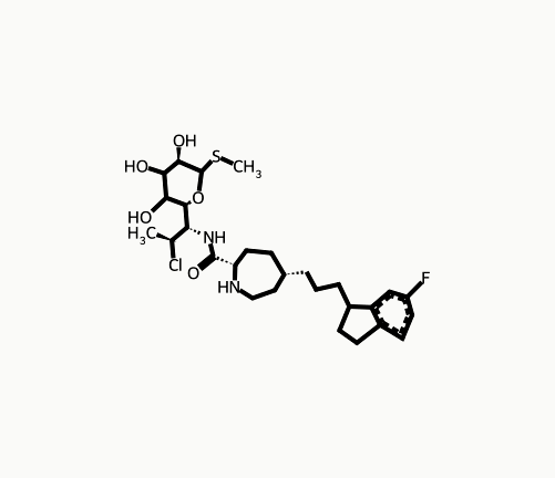 CSC1O[C@H]([C@H](NC(=O)[C@@H]2CC[C@H](CCCC3CCc4ccc(F)cc43)CCN2)[C@H](C)Cl)C(O)C(O)[C@H]1O